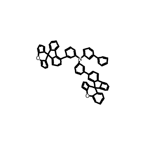 c1ccc(-c2cccc(N(c3cccc(-c4ccc5c(c4)C4(c6ccccc6Oc6ccccc64)c4ccccc4-5)c3)c3cccc(-c4cccc5c4-c4ccccc4C54c5ccccc5Oc5ccccc54)c3)c2)cc1